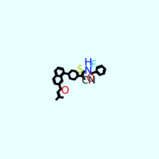 CC(C)=CC(=O)c1ccc2cccc(C3CCc4c(sc(NC(=O)c5ccccc5F)c4C#N)C3)c2c1